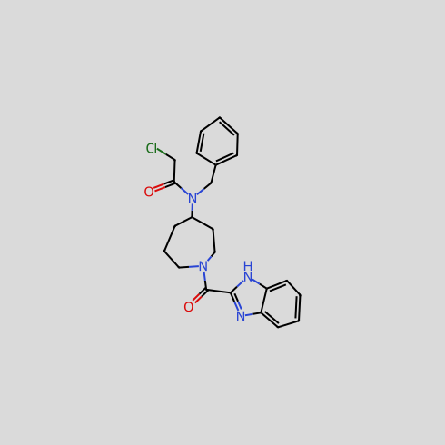 O=C(c1nc2ccccc2[nH]1)N1CCCC(N(Cc2ccccc2)C(=O)CCl)CC1